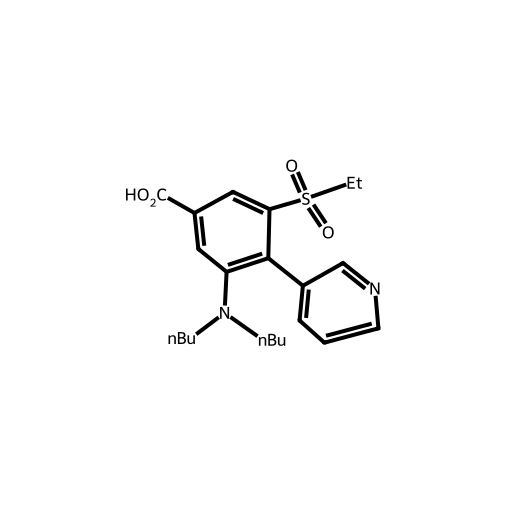 CCCCN(CCCC)c1cc(C(=O)O)cc(S(=O)(=O)CC)c1-c1cccnc1